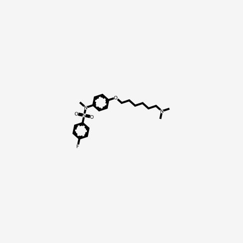 CN(C)CCCCCCOc1ccc(N(C)S(=O)(=O)c2ccc(F)cc2)cc1